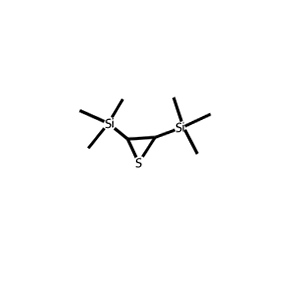 C[Si](C)(C)C1SC1[Si](C)(C)C